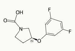 O=C(O)N1CC[C@H](Oc2cc(F)cc(F)c2)C1